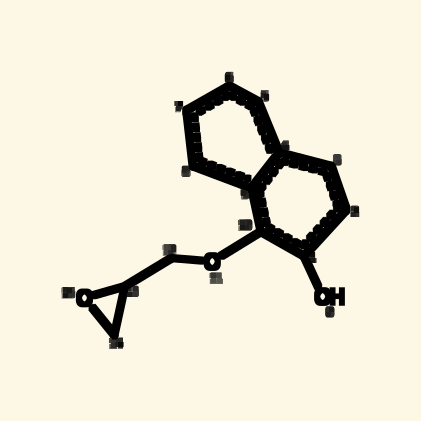 Oc1ccc2ccccc2c1OCC1CO1